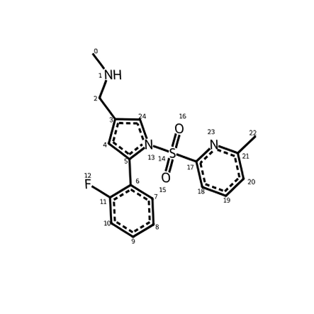 CNCc1cc(-c2ccccc2F)n(S(=O)(=O)c2cccc(C)n2)c1